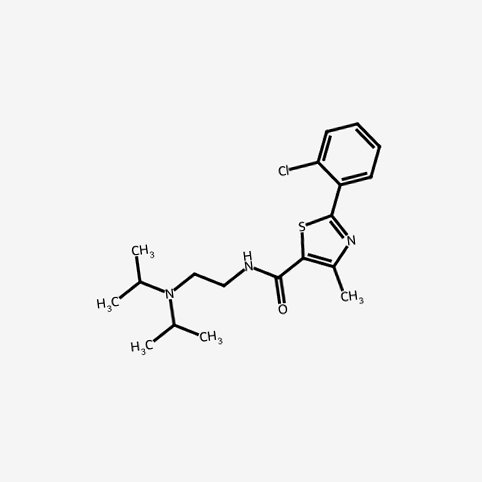 Cc1nc(-c2ccccc2Cl)sc1C(=O)NCCN(C(C)C)C(C)C